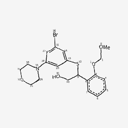 COCOc1ccccc1C(CO)SC1=C[C](Br)=[Y][C](N2CCOCC2)=C1